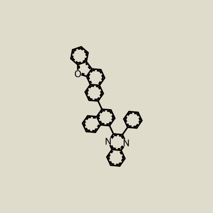 c1ccc(-c2nc3ccccc3nc2-c2ccc(-c3ccc4c(ccc5c6ccccc6oc45)c3)c3ccccc23)cc1